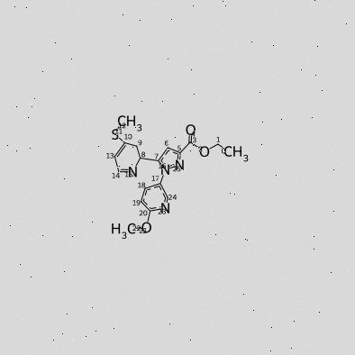 CCOC(=O)c1cc(C2CC(SC)=CC=N2)n(-c2ccc(OC)nc2)n1